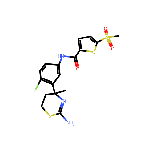 CC1(c2cc(NC(=O)c3ccc(S(C)(=O)=O)s3)ccc2F)CCSC(N)=N1